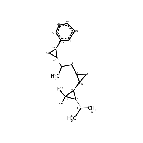 CC(CC1CC1[C@H]1[C@H](C(C)C)C1(F)F)[C@@H]1C[C@H]1c1ccccc1